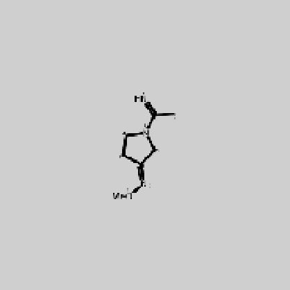 [CH2]C(=N)N1CCC(=NOC)C1